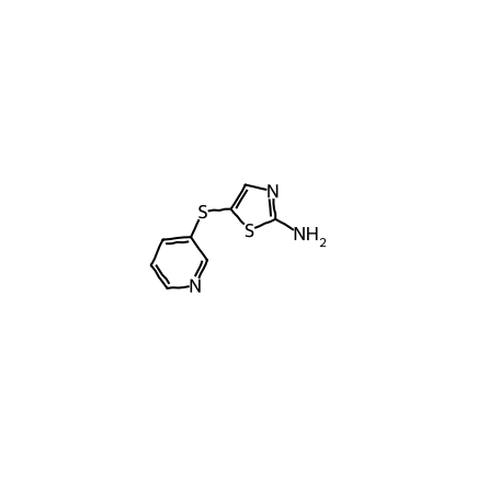 Nc1ncc(Sc2cccnc2)s1